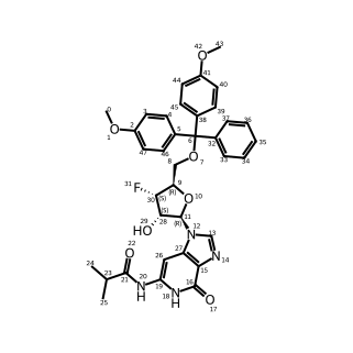 COc1ccc(C(OC[C@H]2O[C@@H](n3cnc4c(=O)[nH]c(NC(=O)C(C)C)cc43)[C@H](O)[C@@H]2F)(c2ccccc2)c2ccc(OC)cc2)cc1